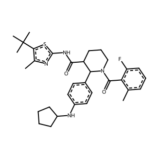 Cc1cccc(F)c1C(=O)N1CCCC(C(=O)Nc2nc(C)c(C(C)(C)C)s2)C1c1ccc(NC2CCCC2)cc1